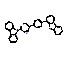 C=C(/C=C\C(=C/C)c1ccc(-c2cccc3c2sc2ccccc23)cc1)n1c2ccccc2c2ccccc21